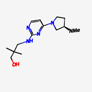 CN[C@@H]1CCN(c2ccnc(NCC(C)(C)CO)n2)C1